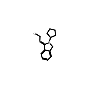 ClCN=C1c2ccccc2CN1C1CCCC1